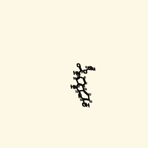 CC(C)(C)OC(=O)Nc1ccc2c(c1)[nH]c1nc(O)ccc12